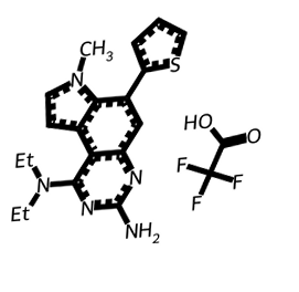 CCN(CC)c1nc(N)nc2cc(-c3cccs3)c3c(ccn3C)c12.O=C(O)C(F)(F)F